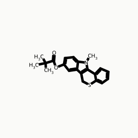 Cn1c2c(c3cc(OC(=O)C(C)(C)C)ccc31)CSc1ccccc1-2